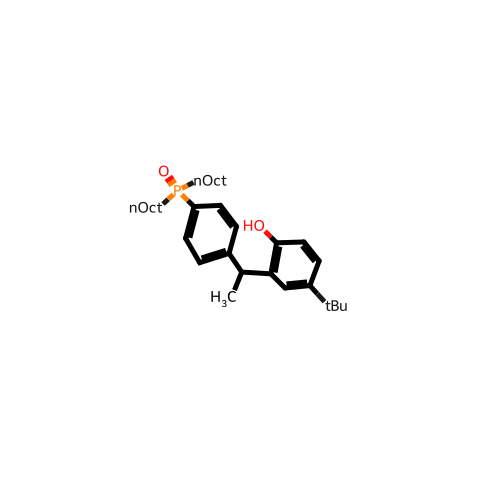 CCCCCCCCP(=O)(CCCCCCCC)c1ccc(C(C)c2cc(C(C)(C)C)ccc2O)cc1